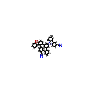 N#Cc1ccc2c(c1)c1ccccc1n2-c1cc(-c2ccc3oc4ccccc4c3c2)cc(-c2ccccc2-c2ccccc2C#N)c1